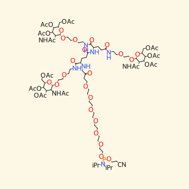 CC(=O)NC1C(OCCOCCNC(=O)CCC(NC(=O)CCC(NCC(=O)CCOCCOCCOCCOCCOCCOCCOP(OCCC#N)N(C(C)C)C(C)C)C(=O)NCCOCCOC2OC(COC(C)=O)C(OC(C)=O)C(OC(C)=O)C2NC(C)=O)C(=O)NCCOCCOC2OC(COC(C)=O)C(OC(C)=O)C(OC(C)=O)C2NC(C)=O)OC(COC(C)=O)C(OC(C)=O)C1OC(C)=O